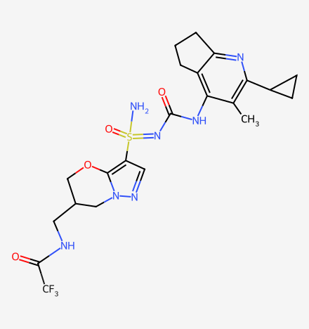 Cc1c(C2CC2)nc2c(c1NC(=O)N=S(N)(=O)c1cnn3c1OCC(CNC(=O)C(F)(F)F)C3)CCC2